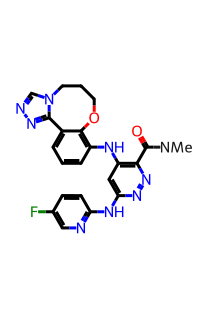 CNC(=O)c1nnc(Nc2ccc(F)cn2)cc1Nc1cccc2c1OCCCn1cnnc1-2